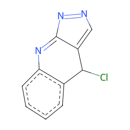 ClC1C2=CN=NC2=Nc2ccccc21